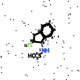 O=S(=O)(O)N[C@H]1c2ccccc2C[C@@H]1F